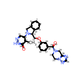 Cc1c(N2Cc3ccccc3C2COc2cccc(C(=O)N3CCn4ncnc4C3)c2)cn[nH]c1=O